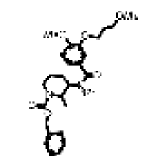 COCCCOc1cc(C(=O)N(C(C)C)C2CCCN(C(=O)OCc3ccccc3)C2C)ccc1OC